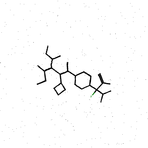 C=C(C)C(F)(C(C)C)C1CCC(C(C)C(C2CCC2)C(C(C)CC)C(C)CC)CC1